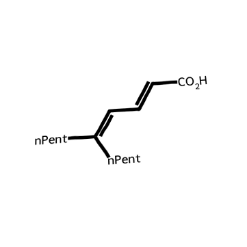 CCCCCC(=CC=CC(=O)O)CCCCC